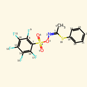 C/C(=N/OS(=O)(=O)c1c(F)c(F)c(F)c(F)c1F)Sc1ccccc1